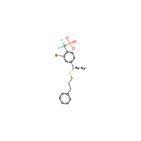 O=P([O-])([O-])C(F)(F)c1ccc(CSCCCc2ccccc2)cc1Br.[Na+].[Na+]